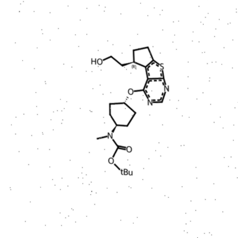 CN(C(=O)OC(C)(C)C)[C@H]1CC[C@H](Oc2ncnc3sc4c(c23)[C@@H](CCO)CC4)CC1